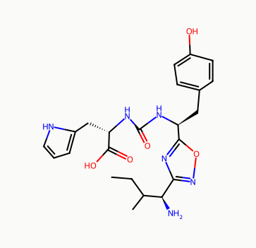 CCC(C)[C@H](N)c1noc([C@H](Cc2ccc(O)cc2)NC(=O)N[C@@H](Cc2ccc[nH]2)C(=O)O)n1